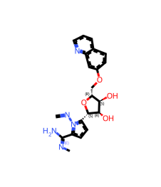 C=Nn1c(/C(N)=N\C)ccc1[C@@H]1O[C@H](COc2ccc3cccnc3c2)[C@@H](O)[C@H]1O